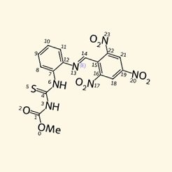 COC(=O)NC(=S)Nc1ccccc1/N=C/c1c([N+](=O)[O-])cc([N+](=O)[O-])cc1[N+](=O)[O-]